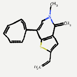 C=Cc1cc2c(s1)C(c1ccccc1)=CN(C)C2=C